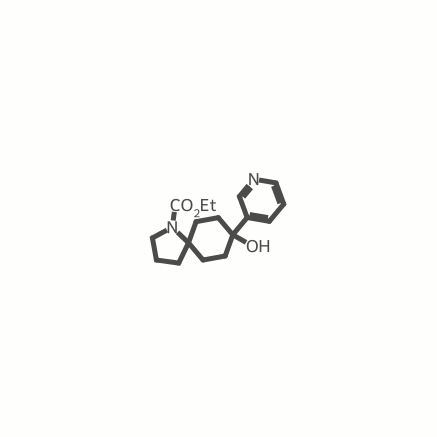 CCOC(=O)N1CCCC12CCC(O)(c1cccnc1)CC2